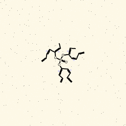 C=C/C=C\C(=C/C)OP(=O)(OC(/C=C\C=C)=C/C)OC(/C=C\C=C)=C/C=C